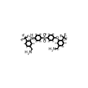 NCc1ccc(C(F)(F)F)c(Nc2ccc(S(=O)(=O)c3ccc(Oc4cc(CN)ccc4C(F)(F)F)cc3)cc2)c1